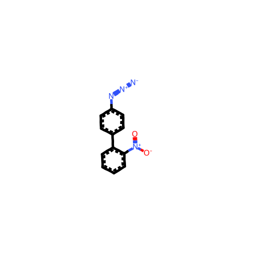 [N-]=[N+]=Nc1ccc(-c2ccccc2[N+](=O)[O-])cc1